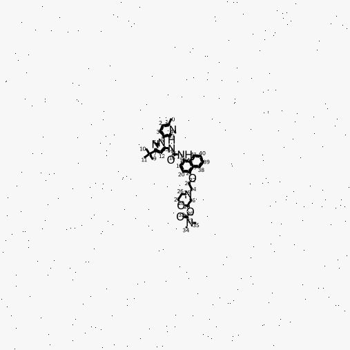 Cc1ccc(-n2nc(C(C)(C)C)cc2NC(=O)Nc2ccc(OCCN3CCOC(OC(=O)N(C)C)C3)c3ccccc23)cn1